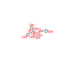 O=C(/C=C/c1ccc(O)cc1)OCC1OC(Oc2c(-c3ccc(O)cc3)oc3cc(O)cc(O)c3c2=O)C(O)C(O)C1O